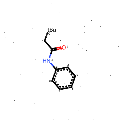 CC(C)(C)CC(=O)Nc1cc[c]cc1